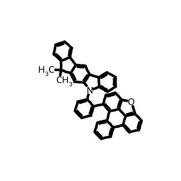 CC1(C)c2ccccc2-c2cc3c4ccccc4n(-c4ccccc4-c4ccc5oc6cccc7c8ccccc8c4c5c67)c3cc21